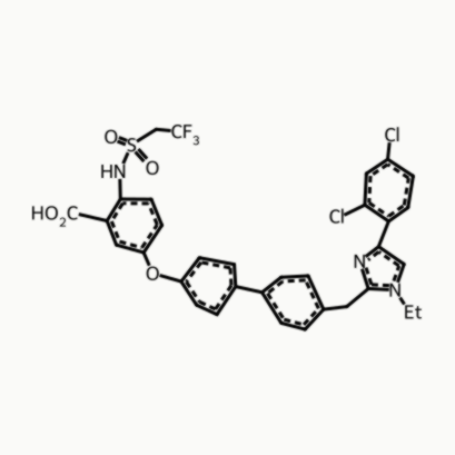 CCn1cc(-c2ccc(Cl)cc2Cl)nc1Cc1ccc(-c2ccc(Oc3ccc(NS(=O)(=O)CC(F)(F)F)c(C(=O)O)c3)cc2)cc1